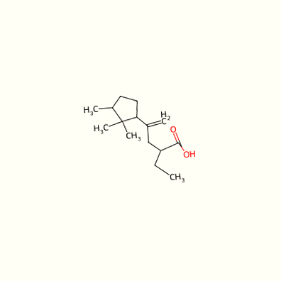 C=C(CC(CC)C(=O)O)C1CCC(C)C1(C)C